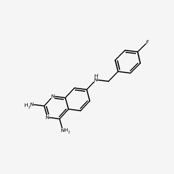 Nc1nc(N)c2ccc(NCc3ccc(F)cc3)cc2n1